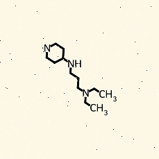 CCN(CC)CCCNC1CC[N]CC1